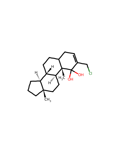 C[C@@]12CCC[C@H]1[C@@H]1CCC3CC=C(CCl)C(O)(O)[C@]3(C)[C@H]1CC2